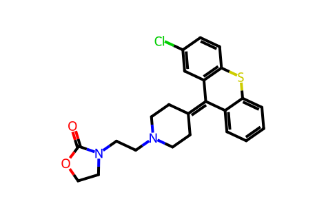 O=C1OCCN1CCN1CCC(=C2c3ccccc3Sc3ccc(Cl)cc32)CC1